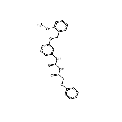 COc1ccccc1COc1cccc(NC(=S)NC(=O)COc2ccccc2)c1